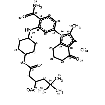 CC(=O)OC(CC(=O)OC1CCC(Nc2cc(-n3c(C)cc4c3CCCC4=O)ccc2C(N)=O)CC1)C[N+](C)(C)C.[Cl-]